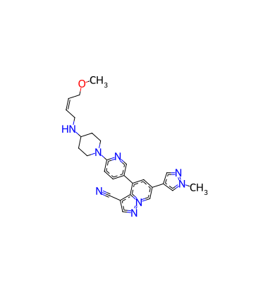 COC/C=C\CNC1CCN(c2ccc(-c3cc(-c4cnn(C)c4)cn4ncc(C#N)c34)cn2)CC1